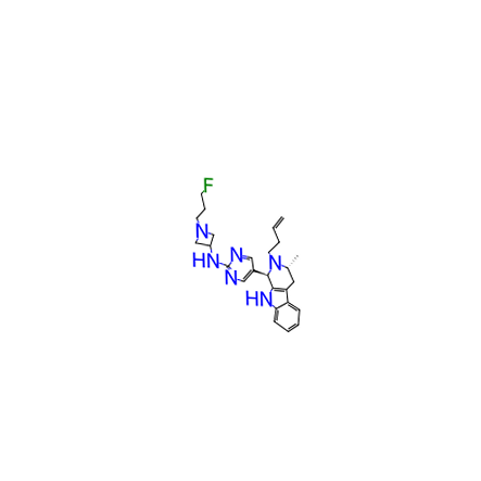 C=CCCN1[C@H](c2cnc(NC3CN(CCCF)C3)nc2)c2[nH]c3ccccc3c2C[C@H]1C